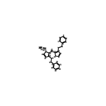 C1=CC(CCc2ccccc2)=[C]([Zr][C]2=C(CCc3ccccc3)C=CC2)C1.F.F